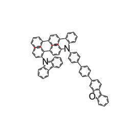 c1ccc(-c2ccc(-c3ccccc3N(c3ccc(-c4ccc(-c5ccc6c(c5)oc5ccccc56)cc4)cc3)c3ccc(-c4ccccc4-n4c5ccccc5c5ccccc54)cc3)cc2)cc1